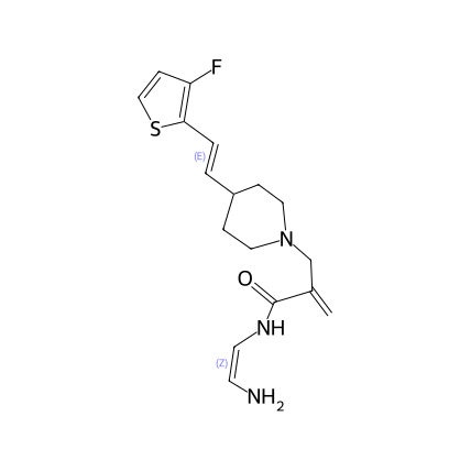 C=C(CN1CCC(/C=C/c2sccc2F)CC1)C(=O)N/C=C\N